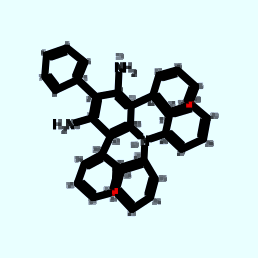 Nc1c(-c2ccccc2)c(N)c(-c2ccccc2)c(N(c2ccccc2)c2ccccc2)c1-c1ccccc1